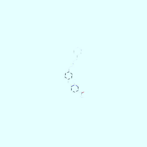 NC(=O)c1ccc(Oc2c(F)cc(CCNCC3CCCCC3)cc2F)nc1